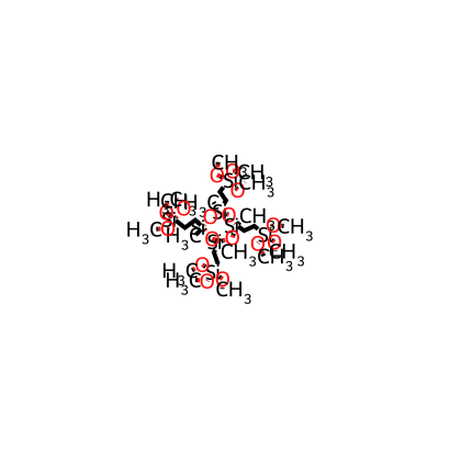 CO[Si](CC[Si]1(C)O[Si](C)(CC[Si](OC)(OC)OC)O[Si](C)(CC[Si](OC)(OC)OC)O[Si](C)(CC[Si](OC)(OC)OC)O1)(OC)OC